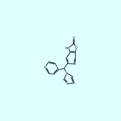 O=c1[nH]c2cc(C(c3ccncc3)n3ccnc3)ccc2o1